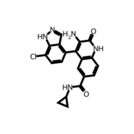 Nc1c(-c2ccc(Cl)c3[nH]ncc23)c2cc(C(=O)NC3CC3)ccc2[nH]c1=O